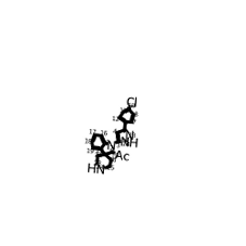 CC(=O)C1N(c2cc(-c3ccc(Cl)cc3)n[nH]2)c2ccccc2C12CCNCC2